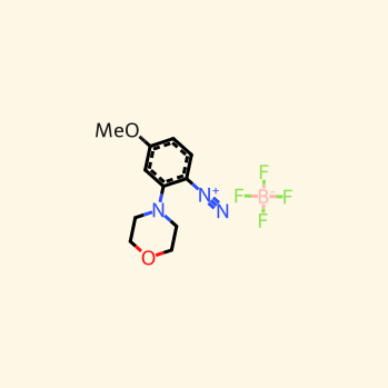 COc1ccc([N+]#N)c(N2CCOCC2)c1.F[B-](F)(F)F